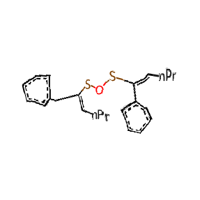 CCCC=C(SOSC(=CCCC)c1ccccc1)c1ccccc1